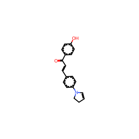 O=C(/C=C/c1ccc(N2C=CCC2)cc1)c1ccc(O)cc1